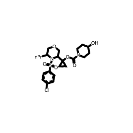 CCCC1COCC(C2(OC(=O)N3CCC(O)CC3)CC2)N1S(=O)(=O)c1ccc(Cl)cc1